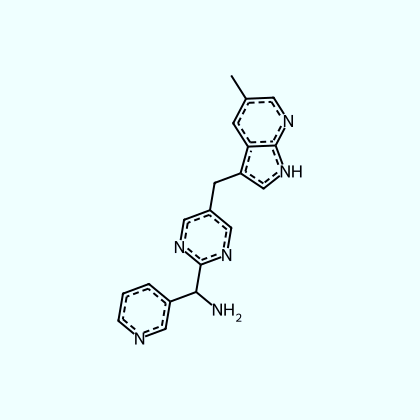 Cc1cnc2[nH]cc(Cc3cnc(C(N)c4cccnc4)nc3)c2c1